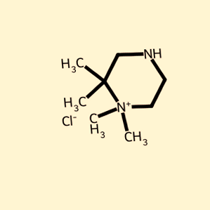 CC1(C)CNCC[N+]1(C)C.[Cl-]